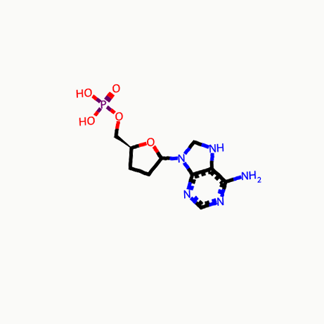 Nc1ncnc2c1NCN2C1CC[C@@H](COP(=O)(O)O)O1